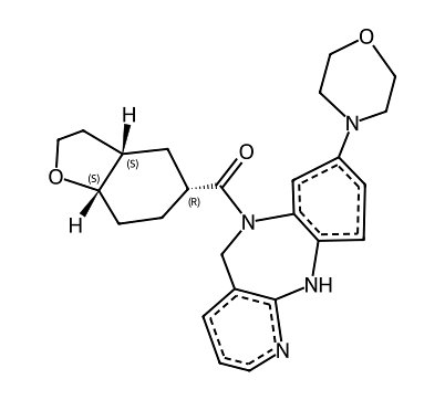 O=C([C@@H]1CC[C@@H]2OCC[C@@H]2C1)N1Cc2cccnc2Nc2ccc(N3CCOCC3)cc21